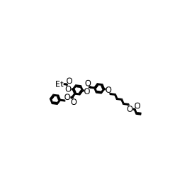 C=CC(=O)OCCCCCCOc1ccc(C(=O)Oc2ccc(OC(=O)CC)c(C(=O)OCc3ccccc3)c2)cc1